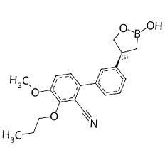 CCCOc1c(OC)ccc(-c2cccc([C@H]3COB(O)C3)c2)c1C#N